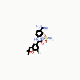 CCc1cc(C(Nc2ccc(C(=N)N)cc2)C(=O)NS(N)(=O)=O)cc2c1OC(C)(C)C2